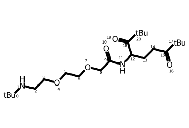 CC(C)(C)NCCOCCOCC(=O)NC(CCC(=O)C(C)(C)C)C(=O)C(C)(C)C